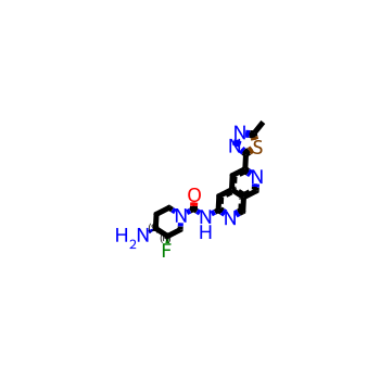 Cc1nnc(-c2cc3cc(NC(=O)N4CC[C@H](N)[C@H](F)C4)ncc3cn2)s1